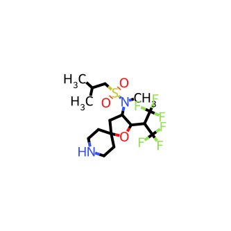 CC(C)CS(=O)(=O)N(C)C1CC2(CCNCC2)OC1C(C(F)(F)F)C(F)(F)F